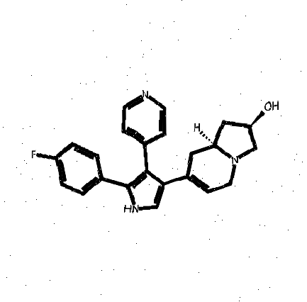 O[C@@H]1C[C@@H]2CC(c3c[nH]c(-c4ccc(F)cc4)c3-c3ccncc3)=CCN2C1